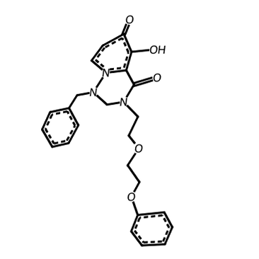 O=C1c2c(O)c(=O)ccn2N(Cc2ccccc2)CN1CCOCCOc1ccccc1